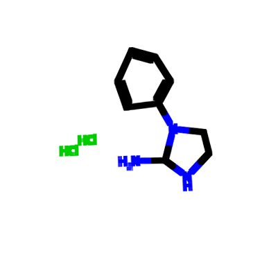 Cl.Cl.NC1NCCN1c1ccccc1